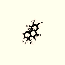 CC(C)c1cc2c(c(O)c1O)[C@@]1(C)CCCC(C)(C)C1C(=O)C2=O